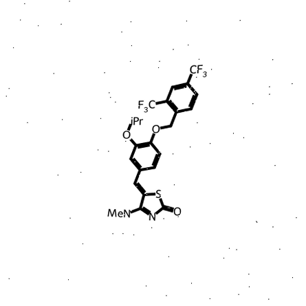 CNC1=NC(=O)S/C1=C\c1ccc(OCc2ccc(C(F)(F)F)cc2C(F)(F)F)c(OC(C)C)c1